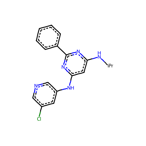 CC(C)Nc1cc(Nc2cncc(Cl)c2)nc(-c2ccccc2)n1